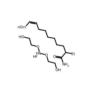 CCCCCCCC/C=C\CCCCCCC(CC)C(N)=O.F.OCCONOCCO